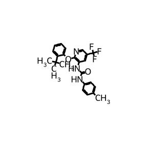 Cc1ccc(NC(=O)Nc2cc(C(F)(F)F)cnc2Oc2ccccc2C(C)(C)C)cc1